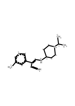 Cc1cncc(/C(C=N)=C/NC2CCN(C(C)C)CC2)c1